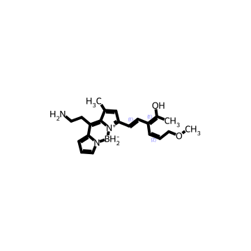 COC\C=C/C(/C=C/C1=[N+]2[BH2-]n3cccc3C(CCN)=C2C(C)=C1)=C(\C)O